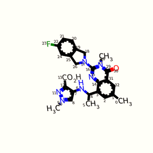 Cc1cc(C(C)Nc2cn(C)nc2C(=O)O)c2nc(N3Cc4ccc(F)cc4C3)n(C)c(=O)c2c1